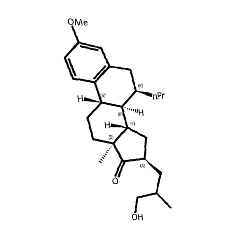 CCC[C@@H]1Cc2cc(OC)ccc2[C@H]2CC[C@]3(C)C(=O)[C@H](CC(C)CO)C[C@H]3[C@H]12